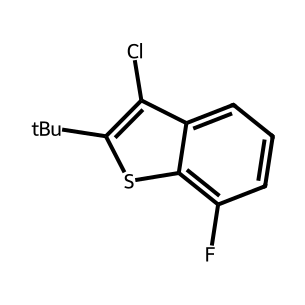 CC(C)(C)c1sc2c(F)cccc2c1Cl